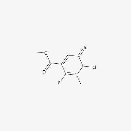 COC(=O)C1=CC(=S)C(Cl)C(C)=C1F